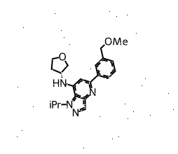 COCc1cccc(-c2cc(N[C@@H]3CCOC3)c3c(cnn3C(C)C)n2)c1